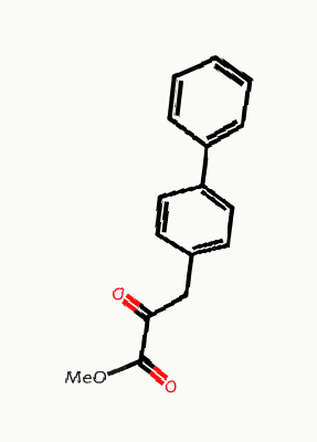 COC(=O)C(=O)Cc1ccc(-c2ccccc2)cc1